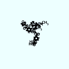 CCNC(=O)c1cn2ncnc(N(C(=O)OCOC(=O)c3ccc(OP(=O)(O)O)cc3)c3cc(C(=O)Nc4ccon4)ccc3C)c2c1C